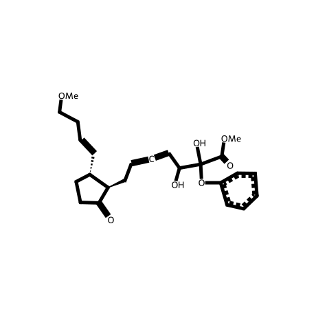 COCC/C=C/[C@H]1CCC(=O)[C@@H]1CC=C=CC(O)C(O)(Oc1ccccc1)C(=O)OC